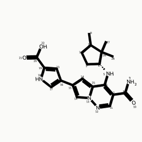 CC1CC[C@@H](Nc2c(C(N)=O)cnn3cc(-c4c[nH]c(C(=O)O)c4)cc23)C1(C)C